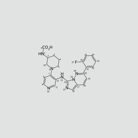 O=C(O)NC1CCCN(c2ccncc2Nc2ncc3ccc(-c4ccccc4F)nn23)C1